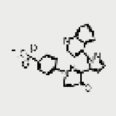 O=c1ccn(-c2ccc(S(=O)(=O)C(F)(F)F)cc2)nc1-c1ccnn1-c1ccnc2ccccc12